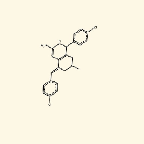 CN1CC(=Cc2ccc(Cl)cc2)C2=C(C1)C(c1ccc(Cl)cc1)NC(N)=N2